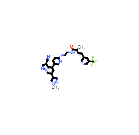 CC(/C=C/c1cncc(C(F)(F)F)c1)C(=O)NCCNc1ccc(-c2cc(-c3cnn(C)c3)cn3ncc(C#N)c23)cn1